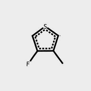 Cc1[c]scc1F